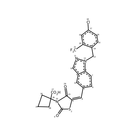 O=C1SC(=Cc2ccc3c(cnn3Cc3ccc(Cl)cc3C(F)(F)F)c2)C(=O)N1C1(C(=O)O)CCC1